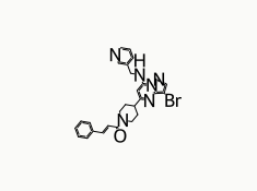 O=C(/C=C/c1ccccc1)N1CCC(c2cc(NCc3cccnc3)n3ncc(Br)c3n2)CC1